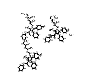 CC(C)c1c(C(=O)Nc2ccccc2)c(-c2ccccc2)c(-c2ccc(F)cc2)n1CC[C@@H](O)C[C@@H](O)CC(=O)O.CC(C)c1c(C(=O)Nc2ccccc2)c(-c2ccccc2)c(-c2ccc(F)cc2)n1CC[C@@H](O)C[C@@H](O)CC(=O)[O-].CC(C)c1c(C(=O)Nc2ccccc2)c(-c2ccccc2)c(-c2ccc(F)cc2)n1CC[C@@H](O)C[C@@H](O)CC(=O)[O-].[Ca+2]